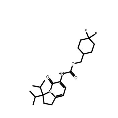 CC(C)C1(C(C)C)CCc2ccc(NC(=O)OCC3CCC(F)(F)CC3)c(=O)n21